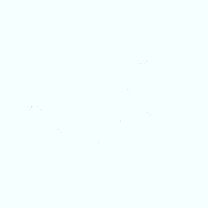 CN/C=C1/C=CC(Nc2ncc(C(F)(F)F)c(NC)n2)=C(C)C1=N